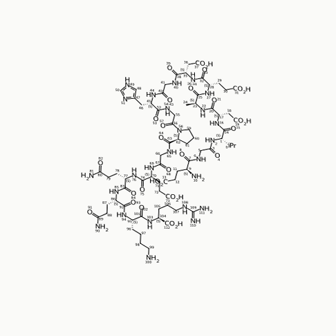 CC(C)[C@H](NC(=O)CNC(=O)[C@@H](N)CCC(=O)O)C(=O)N[C@@H](CC(=O)O)C(=O)N[C@@H](C)C(=O)N[C@@H](CCC(=O)O)C(=O)N[C@@H](CC(=O)O)C(=O)NCC(=O)N[C@@H](Cc1c[nH]cn1)C(=O)NCC(=O)N1CCC[C@H]1C(=O)NCC(=O)N[C@@H](CCC(=O)O)C(=O)N[C@@H](CCC(N)=O)C(=O)N[C@@H](CCC(N)=O)C(=O)N[C@@H](CCCCN)C(=O)N[C@@H](CCCNC(=N)N)C(=O)O